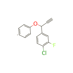 C#CC(Oc1cc[c]cc1)c1ccc(Cl)c(F)c1